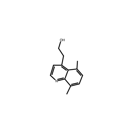 Cc1ccc(C)c2c(CCO)ccnc12